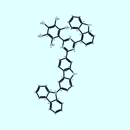 Oc1c(O)c(O)c(-c2nc(-c3ccc4c(c3)oc3ccc(-n5c6ccccc6c6ccccc65)cc34)nc(-c3cccc4oc5ccccc5c34)n2)c(O)c1O